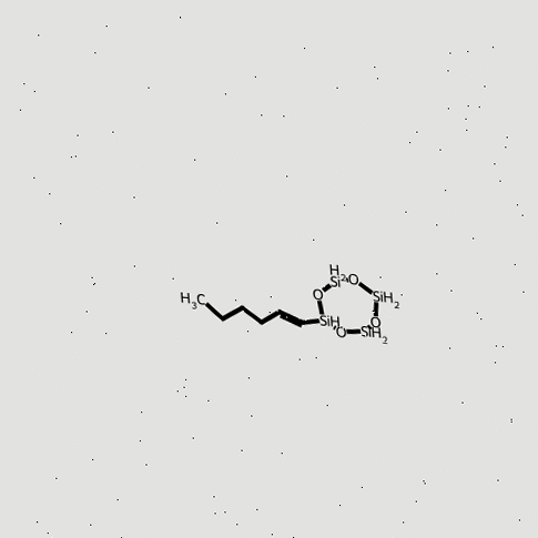 CCCCC=C[SiH]1O[SiH2]O[SiH2]O[SiH2]O1